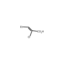 CC/C=C(\Cl)C(=O)O